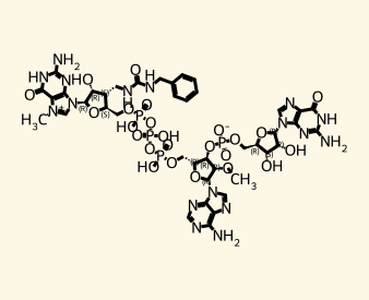 CO[C@@H]1[C@H](OP(=O)([O-])OC[C@H]2O[C@@H](n3cnc4c(=O)[nH]c(N)nc43)[C@H](O)[C@@H]2O)[C@@H](COP(=O)(O)OP(=O)(O)OP(=O)(O)OC[C@H]2O[C@@H](n3c[n+](C)c4c(=O)[nH]c(N)nc43)[C@H](O)[C@@H]2CNC(=O)NCc2ccccc2)O[C@H]1n1cnc2c(N)ncnc21